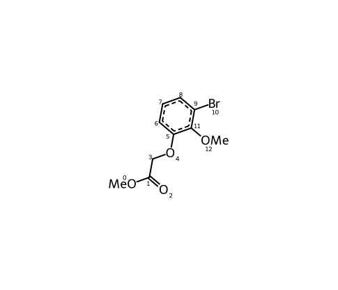 COC(=O)COc1cccc(Br)c1OC